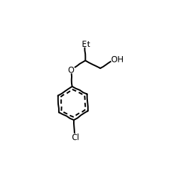 CCC(CO)Oc1ccc(Cl)cc1